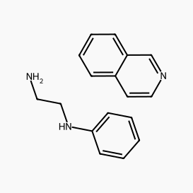 NCCNc1ccccc1.c1ccc2cnccc2c1